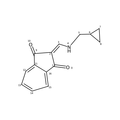 O=C1C(=CNCC2CC2)C(=O)c2ccccc21